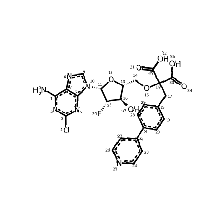 Nc1nc(Cl)nc2c1ncn2[C@@H]1O[C@H](COC(Cc2ccc(-c3ccncc3)cc2)(C(=O)O)C(=O)O)[C@@H](O)[C@@H]1F